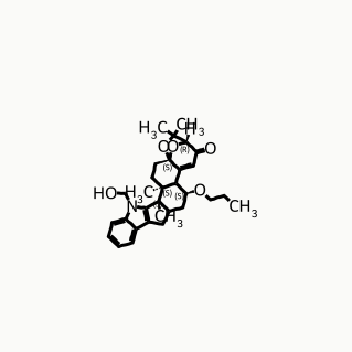 CCCO[C@H]1CC2Cc3c(n(CO)c4ccccc34)[C@]2(C)[C@@]2(C)CC[C@@]34O[C@@H](C(=O)C=C3C12)C(C)(C)O4